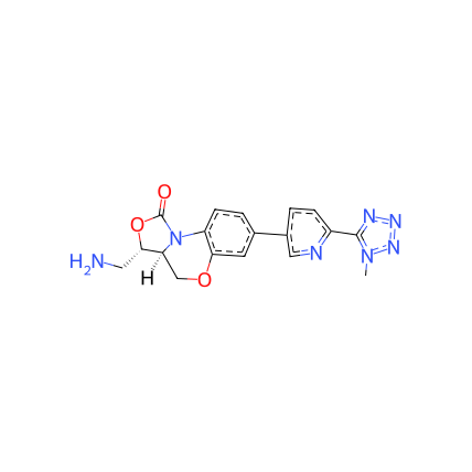 Cn1nnnc1-c1ccc(-c2ccc3c(c2)OC[C@H]2[C@H](CN)OC(=O)N32)cn1